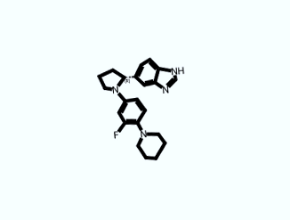 Fc1cc(N2CCC[C@@H]2c2ccc3[nH]cnc3c2)ccc1N1CCCCC1